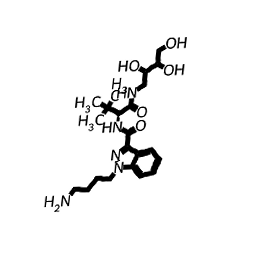 CC(C)(C)[C@H](NC(=O)c1nn(CCCCN)c2ccccc12)C(=O)NCC(O)C(O)CO